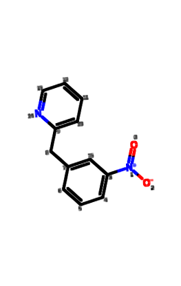 O=[N+]([O-])c1cccc(Cc2ccccn2)c1